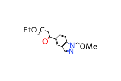 CCOC(=O)CC(=O)c1ccc2c(cnn2COC)c1